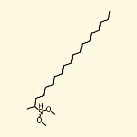 CCCCCCCCCCCCCCCCCC(C)[SiH](OC)OC